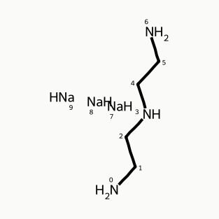 NCCNCCN.[NaH].[NaH].[NaH]